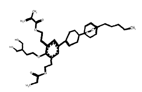 C=C(C)C(=O)OCCc1cc(C2CCC(C34CCC(CCCCC)(CC3)CC4)CC2)cc(CCOC(=O)CC)c1OCCC(CO)CO